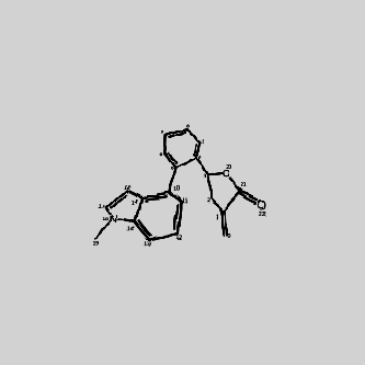 C=C1CC(c2ccccc2-c2cccc3c2ccn3C)OC1=O